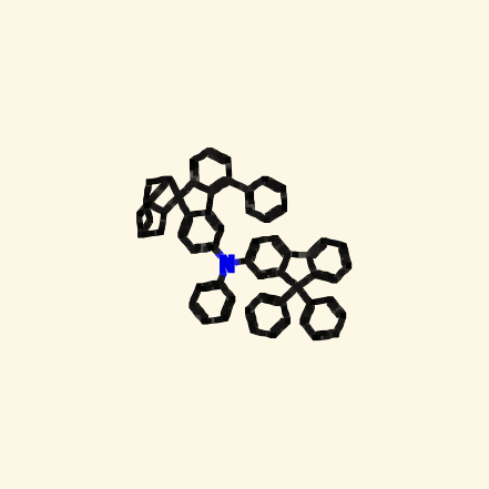 c1ccc(-c2cccc3c2-c2cc(N(c4ccccc4)c4ccc5c(c4)C(c4ccccc4)(c4ccccc4)c4ccccc4-5)ccc2C32C3CC4CC(C3)C2C4)cc1